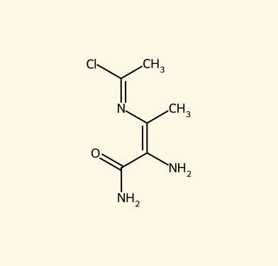 C/C(Cl)=N\C(C)=C(\N)C(N)=O